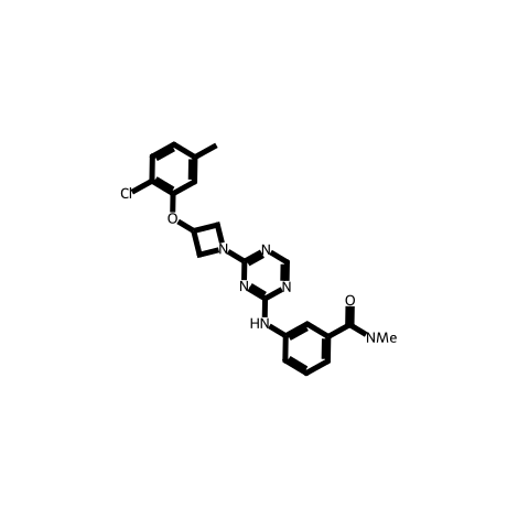 CNC(=O)c1cccc(Nc2ncnc(N3CC(Oc4cc(C)ccc4Cl)C3)n2)c1